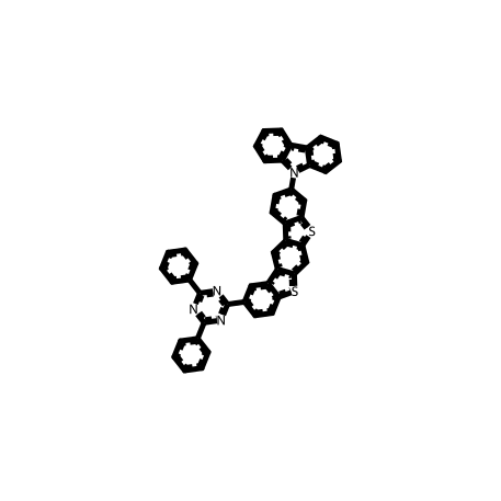 c1ccc(-c2nc(-c3ccccc3)nc(-c3ccc4sc5cc6sc7cc(-n8c9ccccc9c9ccccc98)ccc7c6cc5c4c3)n2)cc1